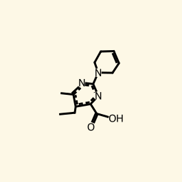 CCc1c(C)nc(N2CC=CCC2)nc1C(=O)O